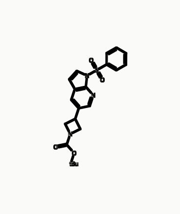 CC(C)(C)OC(=O)N1CC(c2cnc3c(ccn3S(=O)(=O)c3ccccc3)c2)C1